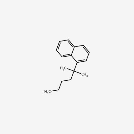 CCCCC(C)(C)c1cccc2ccccc12